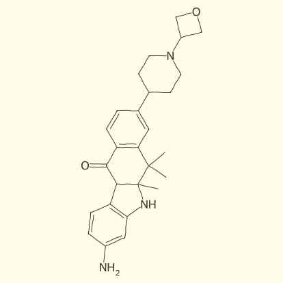 CC1(C)c2cc(C3CCN(C4COC4)CC3)ccc2C(=O)C2c3ccc(N)cc3NC21C